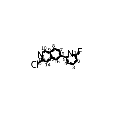 Fc1cccc(-c2ccc3cnc(Cl)cc3c2)n1